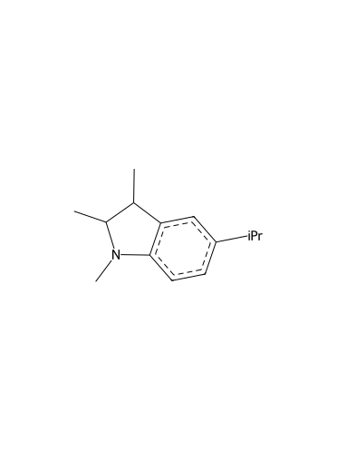 CC(C)c1ccc2c(c1)C(C)C(C)N2C